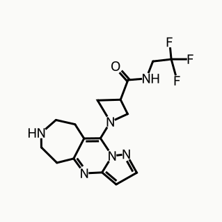 O=C(NCC(F)(F)F)C1CN(c2c3c(nc4ccnn24)CCNCC3)C1